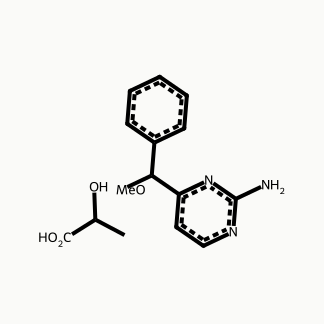 CC(O)C(=O)O.COC(c1ccccc1)c1ccnc(N)n1